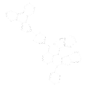 c1ccc(N2c3cccc4c3B(c3c2sc2ccccc32)c2c(sc3ccccc23)N4c2ccc(-c3ccc4c5ccccc5c5ccccc5c4c3)cc2)cc1